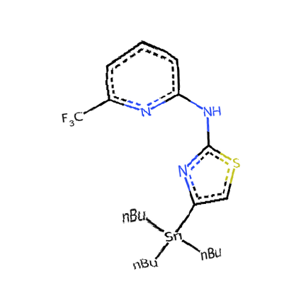 CCC[CH2][Sn]([CH2]CCC)([CH2]CCC)[c]1csc(Nc2cccc(C(F)(F)F)n2)n1